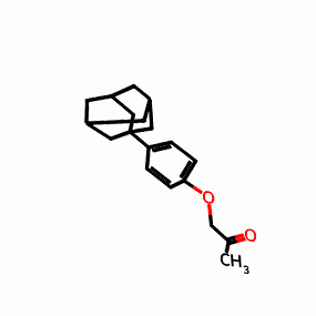 CC(=O)COc1ccc(C23CC4CC(CC(C4)C2)C3)cc1